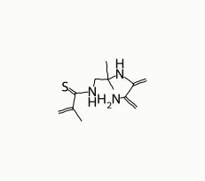 C=C(C)C(=S)NCC(C)(C)NC(=C)C(=C)N